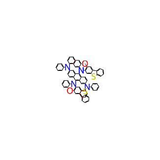 c1ccc(N(c2ccccc2)c2ccc3c(N4c5ccccc5Oc5cc6c(cc54)sc4ccccc46)c4cc(N(c5ccccc5)c5ccccc5)ccc4c(N4c5ccccc5Oc5cc6c(cc54)sc4ccccc46)c3c2)cc1